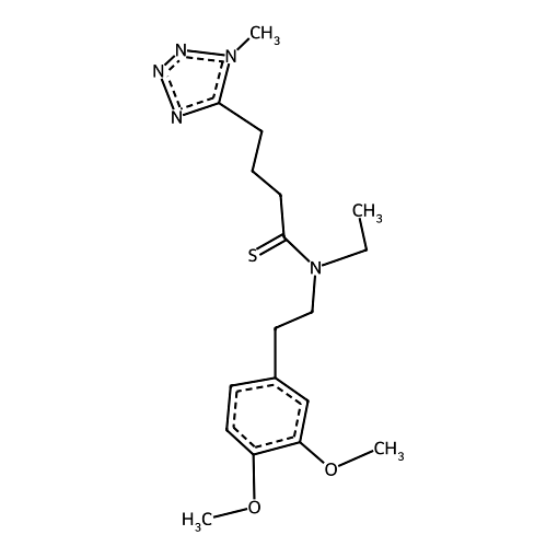 CCN(CCc1ccc(OC)c(OC)c1)C(=S)CCCc1nnnn1C